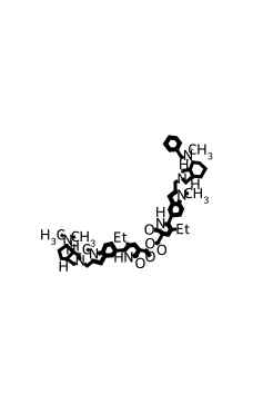 CCc1cc(C(=O)OC(=O)c2cc(CC)c(-c3ccc4c(c3)cc(CN3C[C@H]5CCC[C@@H](N(C)Cc6ccccc6)[C@H]5C3)n4C)[nH]c2=O)c(=O)[nH]c1-c1ccc2c(c1)cc(CN1C[C@H]3CC[C@@H](N(C)C)[C@H]3C1)n2C